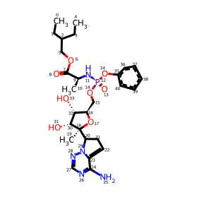 CCC(CC)COC(=O)[C@H](C)N[P@@](=O)(OC[C@H]1O[C@@](C)(C2CC=C3C(N)=NC=NN32)[C@H](O)[C@@H]1O)Oc1ccccc1